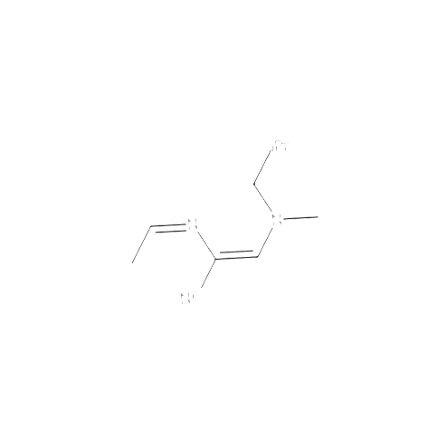 C/C=N\C(C#N)=C/N(C)CC(C)C